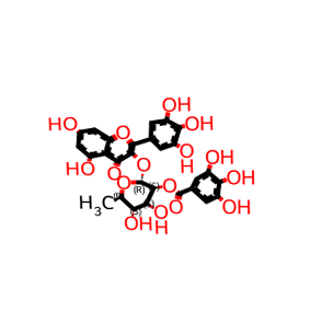 C[C@H]1O[C@H](Oc2c(-c3cc(O)c(O)c(O)c3)oc3cc(O)cc(O)c3c2=O)[C@@H](OC(=O)c2cc(O)c(O)c(O)c2)[C@@H](O)[C@@H]1O